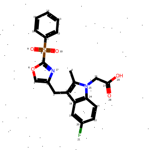 Cc1c(Cc2coc(S(=O)(=O)c3ccccc3)n2)c2cc(F)ccc2n1CC(=O)O